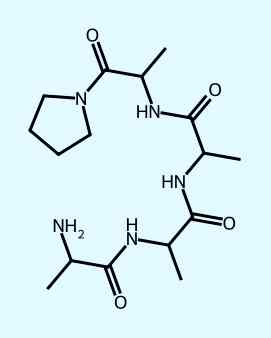 CC(N)C(=O)NC(C)C(=O)NC(C)C(=O)NC(C)C(=O)N1CCCC1